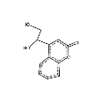 O=c1cc(C(O)CO)c2ccccc2o1